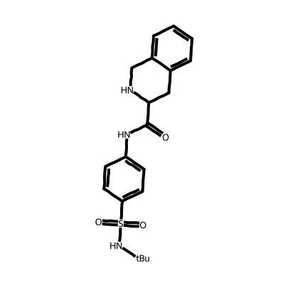 CC(C)(C)NS(=O)(=O)c1ccc(NC(=O)C2Cc3ccccc3CN2)cc1